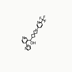 OC(c1cnccc1-n1cccn1)C1CC2(C1)CN(c1ccc(C(F)(F)F)nc1)C2